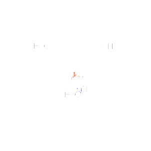 CCCCCCCCCCOP(=O)(OCCCCCCCCCC)OCCN(C)C